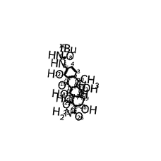 C[C@H]1c2ccc(NC(=O)NC(C)(C)C)c(O)c2C(=O)C2=C(O)[C@]3(O)C(=O)C(C(N)=O)C(O)C[C@@H]3[C@@H](O)[C@@H]21